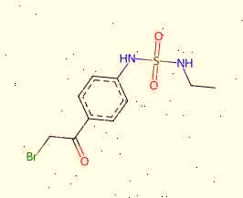 CCNS(=O)(=O)Nc1ccc(C(=O)CBr)cc1